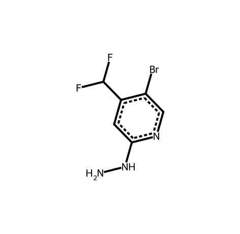 NNc1cc(C(F)F)c(Br)cn1